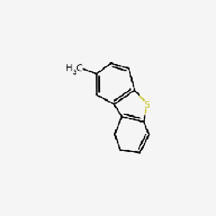 Cc1ccc2sc3c(c2c1)CCC=C3